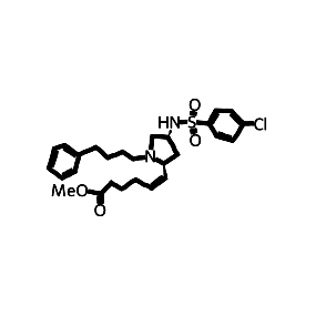 COC(=O)CCC/C=C\[C@@H]1C[C@@H](NS(=O)(=O)c2ccc(Cl)cc2)CN1CCCCc1ccccc1